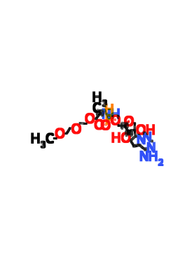 CCOCCOCCOC(=O)[C@H](C)N[PH](=O)OC[C@H]1OCC(O)(C2CC=C3C(N)=NC=NN32)[C@@H]1O